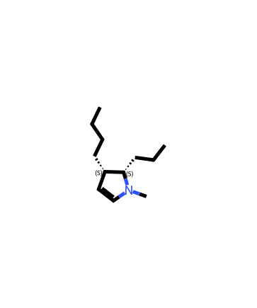 CCCC[C@H]1C=CN(C)[C@H]1CCC